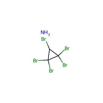 BrC1C(Br)(Br)C1(Br)Br.N